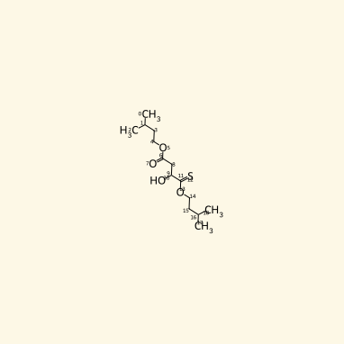 CC(C)CCOC(=O)CC(O)C(=S)OCCC(C)C